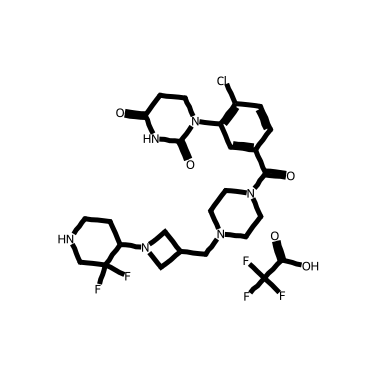 O=C(O)C(F)(F)F.O=C1CCN(c2cc(C(=O)N3CCN(CC4CN(C5CCNCC5(F)F)C4)CC3)ccc2Cl)C(=O)N1